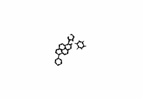 Fc1c(F)c(F)c(-n2c3ccncc3c3c4ccc5ccc(-c6ccccc6)c6ccc(cc32)c4c56)c(F)c1F